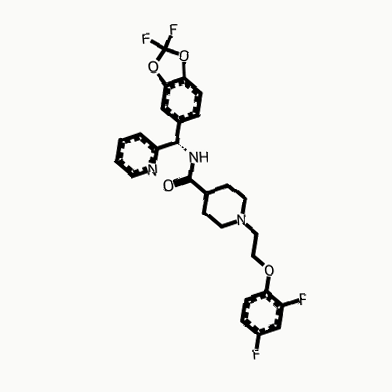 O=C(N[C@@H](c1ccc2c(c1)OC(F)(F)O2)c1ccccn1)C1CCN(CCOc2ccc(F)cc2F)CC1